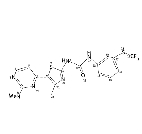 CNc1nccc(-c2sc(NC(=O)Nc3cccc(SC(F)(F)F)c3)nc2C)n1